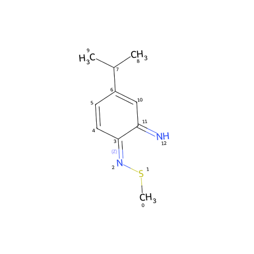 CS/N=C1/C=CC(C(C)C)=CC1=N